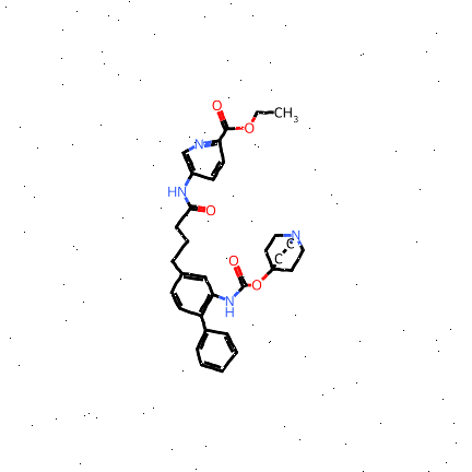 CCOC(=O)c1ccc(NC(=O)CCCc2ccc(-c3ccccc3)c(NC(=O)OC34CCN(CC3)CC4)c2)cn1